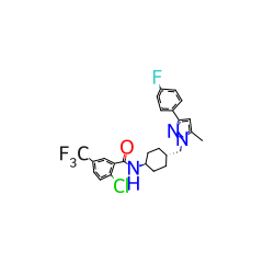 Cc1cc(-c2ccc(F)cc2)nn1C[C@H]1CC[C@H](NC(=O)c2cc(C(F)(F)F)ccc2Cl)CC1